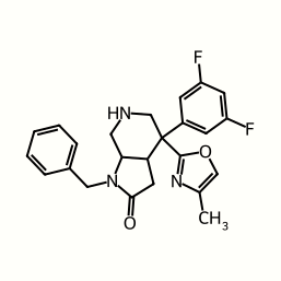 Cc1coc(C2(c3cc(F)cc(F)c3)CNCC3C2CC(=O)N3Cc2ccccc2)n1